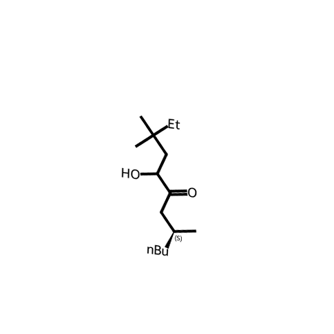 CCCC[C@H](C)CC(=O)C(O)CC(C)(C)CC